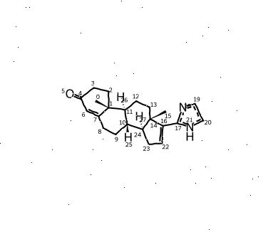 C[C@]12CCC(=O)C=C1CC[C@@H]1[C@@H]2CC[C@]2(C)C(c3ncc[nH]3)=CC[C@@H]12